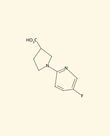 O=C(O)C1CCN(c2ccc(F)cn2)C1